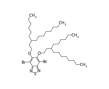 CCCCCCCCC(CCCCCC)CCOc1c(OCCC(CCCCCC)CCCCCCCC)c(Br)c2nsnc2c1Br